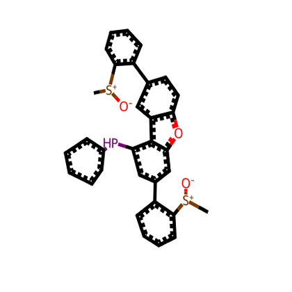 C[S+]([O-])c1ccccc1-c1cc(Pc2ccccc2)c2c(c1)oc1ccc(-c3ccccc3[S+](C)[O-])cc12